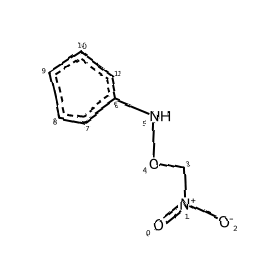 O=[N+]([O-])CONc1ccccc1